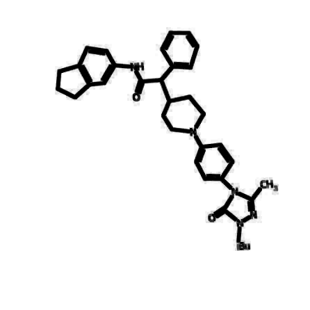 CCC(C)n1nc(C)n(-c2ccc(N3CCC(C(C(=O)Nc4ccc5c(c4)CCC5)c4ccccc4)CC3)cc2)c1=O